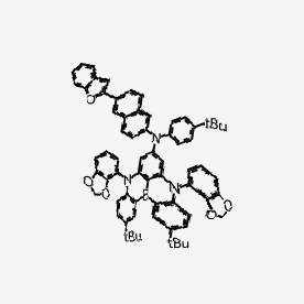 CC(C)(C)c1ccc(N(c2cc3c4c(c2)N(c2cccc5c2OCO5)c2ccc(C(C)(C)C)cc2B4c2cc(C(C)(C)C)ccc2N3c2cccc3c2OCO3)c2ccc3cc(-c4cc5ccccc5o4)ccc3c2)cc1